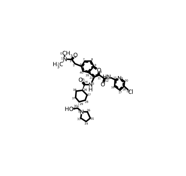 CN(C)C(=O)Cc1ccc2oc(C(=O)Nc3ccc(Cl)cn3)c(NC(=O)[C@H]3CC[C@H](C(O)N4CCCC4)CC3)c2c1